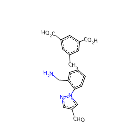 Cc1cc(C(=O)O)cc(C(=O)O)c1.NCc1ccccc1-n1cc(C=O)cn1